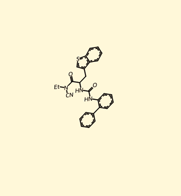 CCN(C#N)C(=O)C(Cc1csc2ccccc12)NC(=O)Nc1ccccc1-c1ccccc1